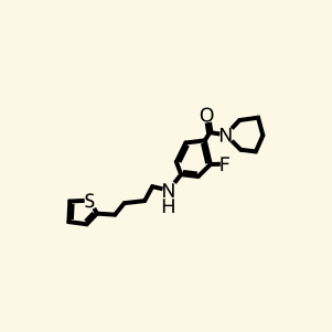 O=C(c1ccc(NCCCCc2cccs2)cc1F)N1CCCCC1